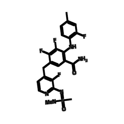 CNS(C)(=O)=Nc1nccc(Cc2cc(C(N)=O)c(Nc3ccc(C)cc3F)c(F)c2F)c1F